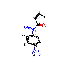 C/C=C\C(=O)Nc1ccc(N)cc1